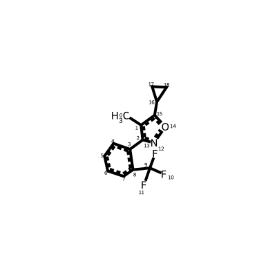 Cc1c(-c2ccccc2C(F)(F)F)noc1C1CC1